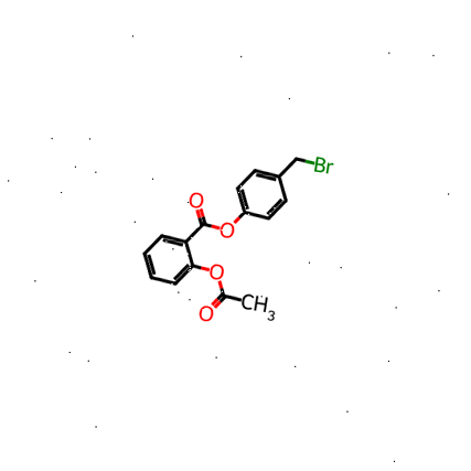 CC(=O)Oc1ccccc1C(=O)Oc1ccc(CBr)cc1